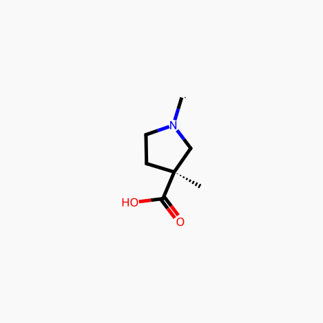 [CH2]N1CC[C@](C)(C(=O)O)C1